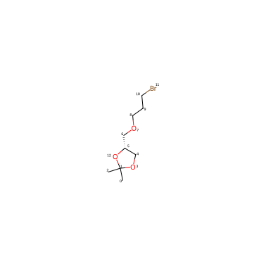 CC1(C)OC[C@@H](COCCCBr)O1